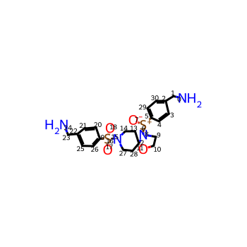 NCc1ccc([S+]([O-])N2CCOC23CCN(S(=O)(=O)c2ccc(CN)cc2)CC3)cc1